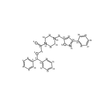 O=C(COC(c1ccccc1)c1ccccc1)N1CCN(Cc2cc(-c3ccccc3)no2)CC1